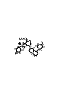 COc1ncc(-c2ccc3nccc(-c4ccc(C)cc4)c3c2)cc1NS(=O)(=O)c1ccc(F)cc1F